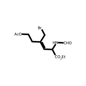 CCOC(=O)C(/C=C(\CBr)CCOC(C)=O)NC=O